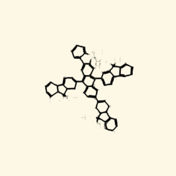 CC1(C)c2ccccc2-c2ccc(-c3c4cc(C5=CCC6C7=C(CCC=C7)C(C)(C)C6C5)ccc4c(C4=CC=C5C6C=CC=CC6C(C)(C)C5C4)c4cc5c(cc34)[Si](C)(C)c3ccccc3-5)cc21